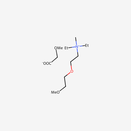 CC[N+](C)(CC)CCOCCOC.COCC(=O)[O-]